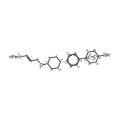 CCCCC/C=C/CO[C@H]1CC[C@H](c2ccc(C34CCC(CCC)(CC3)CC4)cc2)CC1